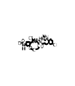 COC(=O)Nc1ccc2c(c1)OCCCCCC(NC(=O)C=Cc1cc(Cl)ccc1-n1cnnn1)c1nc-2c(Cl)[nH]1